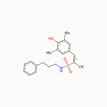 CC(C)(C)c1cc(/C=C(/C#N)S(=O)(=O)NCCCc2ccccc2)cc(C(C)(C)C)c1O